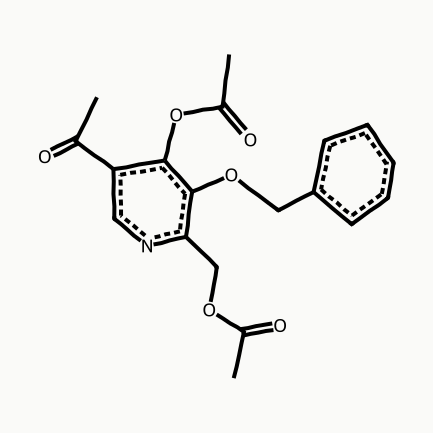 CC(=O)OCc1ncc(C(C)=O)c(OC(C)=O)c1OCc1ccccc1